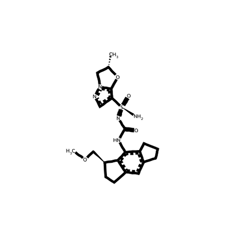 COC[C@@H]1CCc2cc3c(c(NC(=O)N=[S@@](N)(=O)c4cnn5c4O[C@@H](C)C5)c21)CCC3